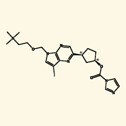 C[Si](C)(C)CCOCn1cc(I)c2nc([C@H]3CC[C@@H](OC(=O)n4ccnc4)C3)cnc21